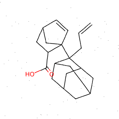 C=CCC1(C23C=CC(CC2C(=O)O)C3)C2CC3CC(C2)CC1C3